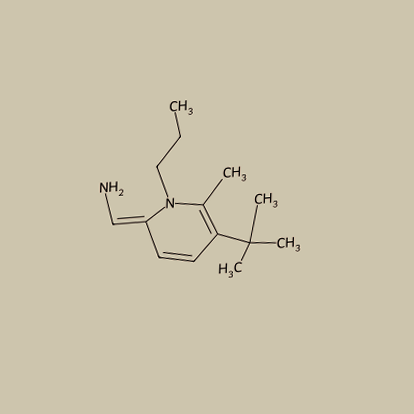 CCCN1C(C)=C(C(C)(C)C)C=C/C1=C/N